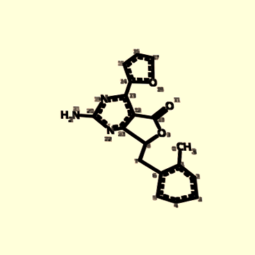 Cc1ccccc1CC1OC(=O)c2c(-c3ccco3)nc(N)nc21